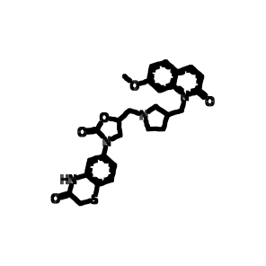 COc1ccc2ccc(=O)n(CC3CCN(CC4CN(c5ccc6c(c5)NC(=O)CS6)C(=O)O4)C3)c2c1